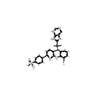 CC(C)(c1nc2cncnc2[nH]1)[C@@H]1c2ccc(-c3ccc(S(C)(=O)=O)cc3)nc2Oc2c(F)cccc21